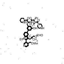 CCn1c(-c2cnccc2COC)c(CC(C)(C)COC=O)c2cc(-c3cc(O)cc(C[C@H](NC(=O)[C@H](C(C)C)N(C)C(=O)N4CCNCC4)C(=O)N4CCCCN4)c3)ccc21